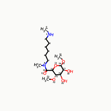 CNCCCCCCN(C)C(=O)C1O[C@@H](OC)[C@@H](O)[C@@H](O)[C@@H]1OC